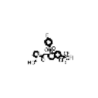 O=C(C[C@@H]1CCc2cc(C(O)(C(F)(F)F)C(F)(F)F)ccc2N1S(=O)(=O)c1ccc(F)cc1)N1CCC[C@H]1CO